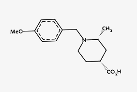 COc1ccc(CN2CC[C@@H](C(=O)O)C[C@H]2C)cc1